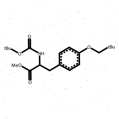 COC(=O)C(Cc1ccc(OCC(C)(C)C)cc1)NC(=O)OC(C)(C)C